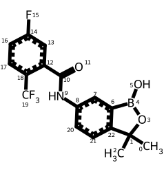 CC1(C)OB(O)c2cc(NC(=O)c3cc(F)ccc3C(F)(F)F)ccc21